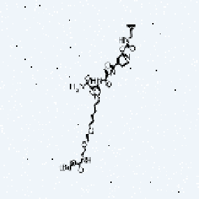 CC(C)(C)OC(=O)NCCOCCOCCCCCCn1cc(NC(=O)c2coc(-c3ccnc(OC(=O)NCC4CC4)c3)n2)c(C(N)=O)n1